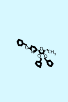 CC[C@H]1O[C@@H](c2ccc(OCc3ccccc3)nc2)[C@@H](OCc2ccccc2)C1OCc1ccccc1